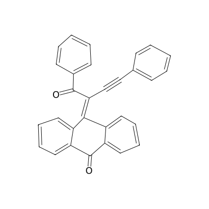 O=C(C(C#Cc1ccccc1)=C1c2ccccc2C(=O)c2ccccc21)c1ccccc1